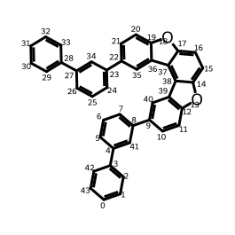 c1ccc(-c2cccc(-c3ccc4oc5ccc6oc7ccc(-c8cccc(-c9ccccc9)c8)cc7c6c5c4c3)c2)cc1